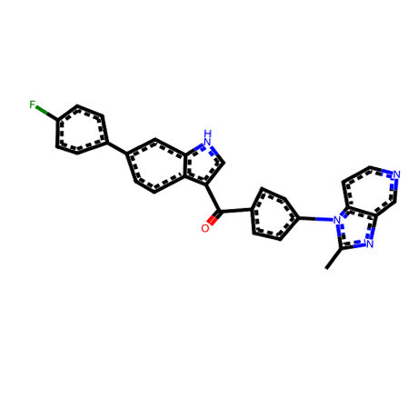 Cc1nc2cnccc2n1-c1ccc(C(=O)c2c[nH]c3cc(-c4ccc(F)cc4)ccc23)cc1